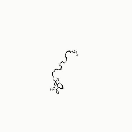 CC/C=C\C/C=C\C/C=C\C/C=C\C/C=C\C/C=C\CCC(=O)Oc1ccccc1C(=O)O